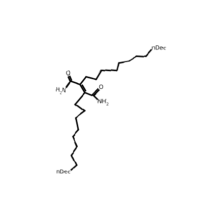 CCCCCCCCCCCCCCCCCCC(C(N)=O)=C(CCCCCCCCCCCCCCCCCC)C(N)=O